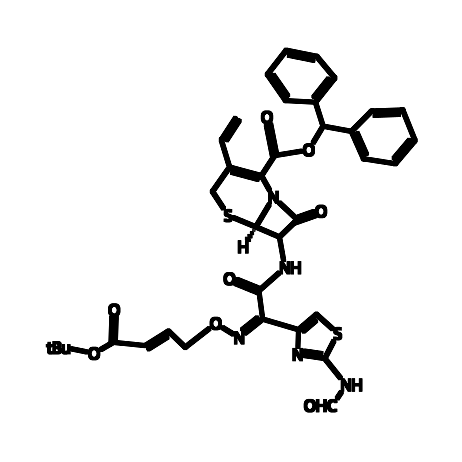 C=CC1=C(C(=O)OC(c2ccccc2)c2ccccc2)N2C(=O)C(NC(=O)/C(=N\OC/C=C/C(=O)OC(C)(C)C)c3csc(NC=O)n3)[C@H]2SC1